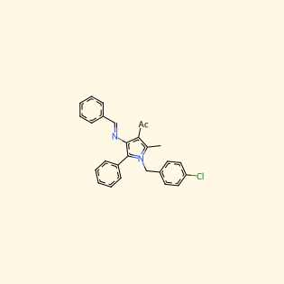 CC(=O)c1c(N=Cc2ccccc2)c(-c2ccccc2)n(Cc2ccc(Cl)cc2)c1C